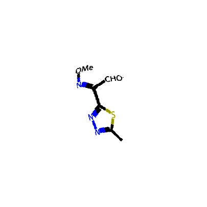 CON=C([C]=O)c1nnc(C)s1